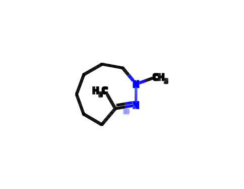 C/C1=N\N(C)CCCCCC1